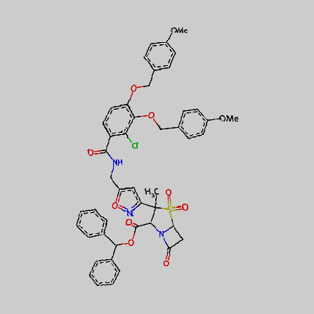 COc1ccc(COc2ccc(C(=O)NCc3cc(C4(C)C(C(=O)OC(c5ccccc5)c5ccccc5)N5C(=O)CC5S4(=O)=O)no3)c(Cl)c2OCc2ccc(OC)cc2)cc1